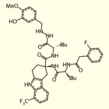 CCC(C)[C@H](NC(=O)Cc1ccccc1F)C(=O)N[C@]1(C(=O)N[C@H](C(=O)NNCc2ccc(OC)c(O)c2)C(C)CC)CCc2[nH]c3c(C(F)(F)F)cccc3c2C1